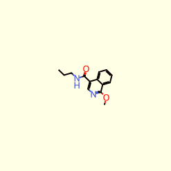 CCCNC(=O)c1cnc(OC)c2ccccc12